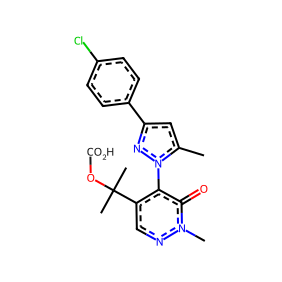 Cc1cc(-c2ccc(Cl)cc2)nn1-c1c(C(C)(C)OC(=O)O)cnn(C)c1=O